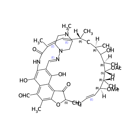 CO[C@H]1/C=C/O[C@@]2(C)Oc3c(C)c(C=O)c4c(O)c(c(/C=N/N5CCN(C)CC5)c(O)c4c3C2=O)NC(=O)/C(C)=C\C=C\[C@H](C)C[C@@H](C)C(O)[C@@H](C)[C@H](OC(C)=O)[C@@H]1C